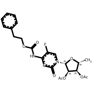 CC(=O)O[C@@H]1[C@H](OC(C)=O)[C@@H](C)O[C@H]1n1cc(F)c(NC(=O)OCCc2ccccc2)nc1=O